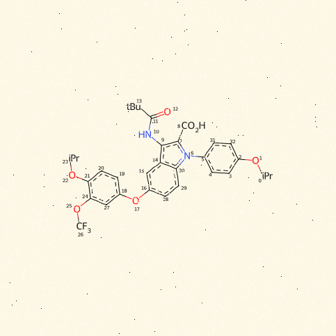 CC(C)Oc1ccc(-n2c(C(=O)O)c(NC(=O)C(C)(C)C)c3cc(Oc4ccc(OC(C)C)c(OC(F)(F)F)c4)ccc32)cc1